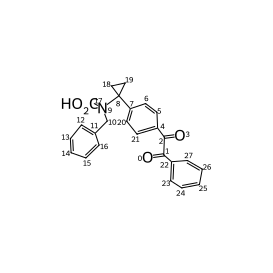 O=C(C(=O)c1ccc(C2(N(Cc3ccccc3)C(=O)O)CC2)cc1)c1ccccc1